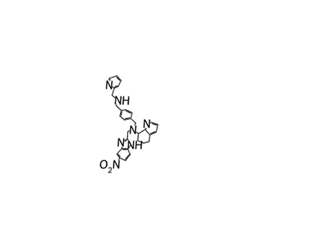 O=[N+]([O-])c1ccc2[nH]c(CN(Cc3ccc(CNCc4ccccn4)cc3)C3CCCc4cccnc43)nc2c1